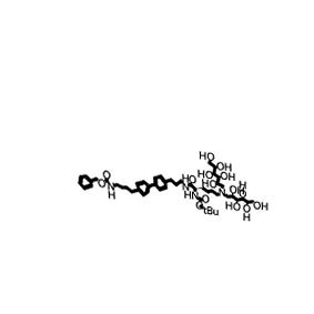 CC(C)(C)OC(=O)N[C@@H](CCCCN(C[C@H](O)[C@@H](O)[C@H](O)[C@H](O)CO)C[C@H](O)[C@@H](O)[C@H](O)[C@H](O)CO)C(=O)NCCCc1ccc(-c2ccc(CCCCNC(=O)OCc3ccccc3)cc2)cc1